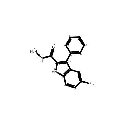 NNC(=O)c1[nH]c2ccc(F)cc2c1-c1ccccc1